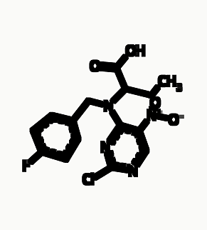 CCC(C(=O)O)N(Cc1ccc(F)cc1)c1nc(Cl)ncc1[N+](=O)[O-]